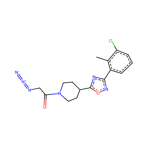 Cc1c(Cl)cccc1-c1noc(C2CCN(C(=O)CN=[N+]=[N-])CC2)n1